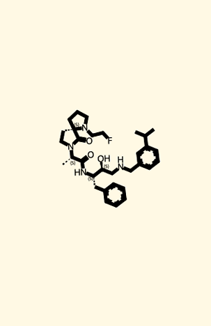 CC(C)c1cccc(CNC[C@H](O)[C@H](Cc2ccccc2)NC(=O)[C@H](C)N2CC[C@@]3(CCCN3CCF)C2=O)c1